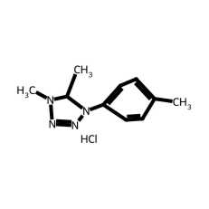 Cc1ccc(N2N=NN(C)C2C)cc1.Cl